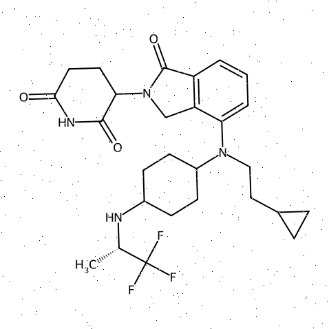 C[C@H](NC1CCC(N(CCC2CC2)c2cccc3c2CN(C2CCC(=O)NC2=O)C3=O)CC1)C(F)(F)F